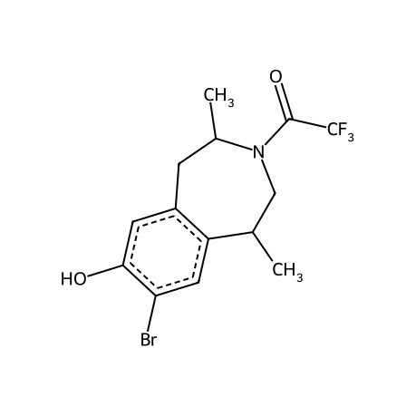 CC1CN(C(=O)C(F)(F)F)C(C)Cc2cc(O)c(Br)cc21